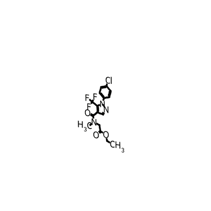 CCOC(=O)CN(C)C(=O)c1cnn(-c2ccc(Cl)cc2)c1C(F)(F)F